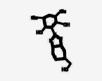 CC(C)(C)c1cc(C(C)(C)C)c(O)c(-n2nc3ccc(CO)cc3n2)c1O